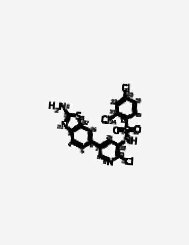 Nc1nc2ccc(-c3cnc(Cl)c(NS(=O)(=O)c4ccc(Cl)cc4Cl)c3)cc2s1